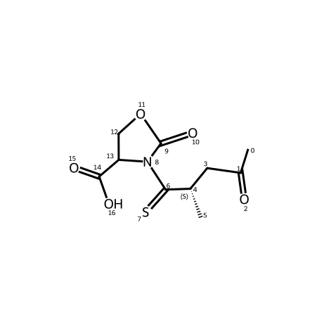 CC(=O)C[C@H](C)C(=S)N1C(=O)OCC1C(=O)O